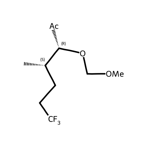 COCO[C@@H](C(C)=O)[C@@H](C)CCC(F)(F)F